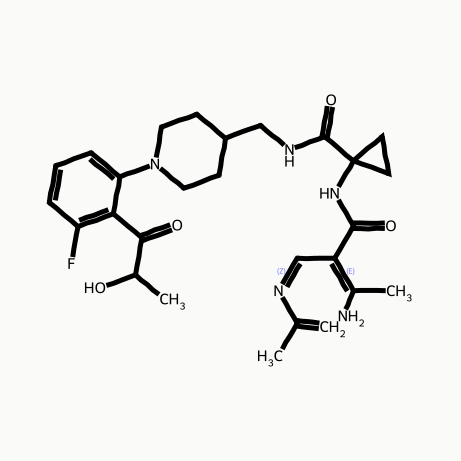 C=C(C)/N=C\C(C(=O)NC1(C(=O)NCC2CCN(c3cccc(F)c3C(=O)C(C)O)CC2)CC1)=C(\C)N